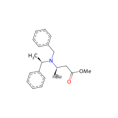 CCCC[C@H](CC(=O)OC)N(Cc1ccccc1)[C@H](C)c1ccccc1